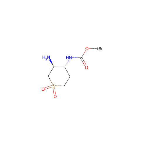 CC(C)(C)OC(=O)N[C@@H]1CCS(=O)(=O)C[C@H]1N